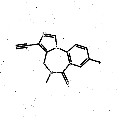 C#Cc1ncn2c1CN(C)C(=O)c1cc(F)ccc1-2